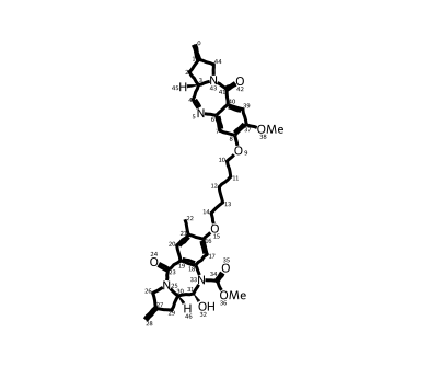 C=C1C[C@H]2C=Nc3cc(OCCCCCOc4cc5c(cc4C)C(=O)N4CC(=C)C[C@H]4[C@H](O)N5C(=O)OC)c(OC)cc3C(=O)N2C1